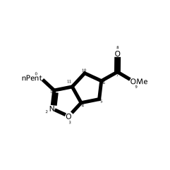 CCCCCC1=NOC2CC(C(=O)OC)CC12